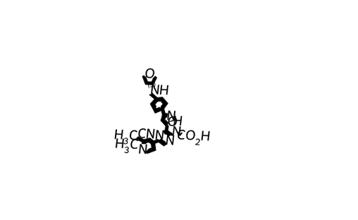 CC(C)(C#N)c1cc(-c2cnc(NC(=O)O)c(-c3cc(-c4ccc(CN[C@H]5CCOC5)cc4)no3)n2)ccn1